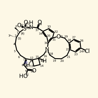 C[C@@H]1[C@@H](C)CCC/C(=C/C(=O)O)[C@@H]2CC[C@H]2CN2CCCCc3cc(Cl)ccc3COc3ccc(cc32)C(=O)NS1(=O)=O